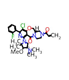 C=CC(=O)N1CCN2C(=O)c3c(N4C[C@H](N(C)C)C(OC)C4(C)C)nc(-c4ccccc4F)c(Cl)c3OC[C@H]2C1